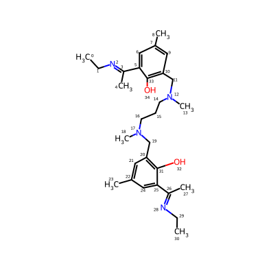 CC/N=C(\C)c1cc(C)cc(CN(C)CCCN(C)Cc2cc(C)cc(/C(C)=N/CC)c2O)c1O